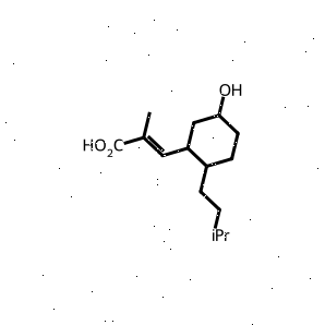 CC(=CC1CC(O)CCC1CCC(C)C)C(=O)O